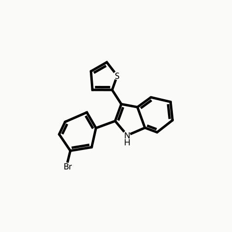 Brc1cccc(-c2[nH]c3ccccc3c2-c2cccs2)c1